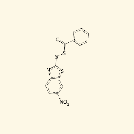 O=C(SSc1nc2ccc([N+](=O)[O-])cc2s1)c1ccccc1